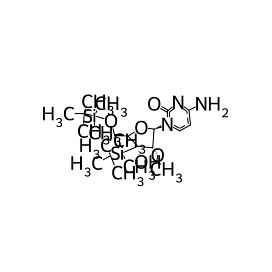 CO[C@H]1[C@H](n2ccc(N)nc2=O)O[C@H](CO[Si](C)(C)C(C)(C)C)[C@]1(O)[Si](C)(C)C(C)(C)C